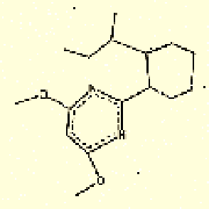 CCC(C)C1CCCCC1c1nc(OC)cc(OC)n1